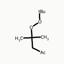 CC(=O)CC(C)(C)OOC(C)(C)C